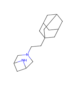 C1C2CC3CC1CC(CCN1CC4CC(C1)N4)(C2)C3